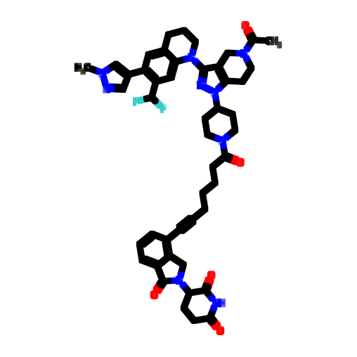 CC(=O)N1CCc2c(c(N3CCCc4cc(-c5cnn(C)c5)c(C(F)F)cc43)nn2C2CCN(C(=O)CCCCC#Cc3cccc4c3CN(C3CCC(=O)NC3=O)C4=O)CC2)C1